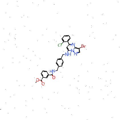 COC(=O)c1cccc(C(=O)NCc2ccc(CNc3cc(-c4ccccc4Cl)nc4c(Br)cnn34)cc2)c1